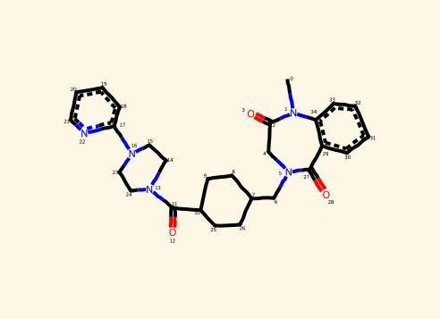 CN1C(=O)CN(CC2CCC(C(=O)N3CCN(c4ccccn4)CC3)CC2)C(=O)c2ccccc21